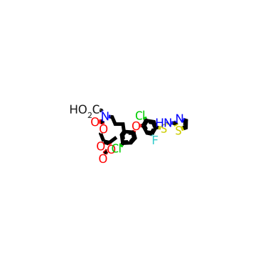 Cc1oc(=O)oc1COC(=O)N(CCCc1cc(Cl)ccc1Oc1cc(F)c(SNc2nccs2)cc1Cl)CC(=O)O